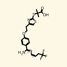 CC(C)(Sc1nc(CCOc2ccc(/C(N)=N/C=C\CC(F)(F)F)cc2)cs1)C(=O)O